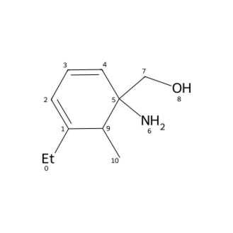 CCC1=CC=CC(N)(CO)C1C